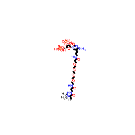 CC(C)CC(C(=O)NCCC(=O)NCCOCCOCCOCCOCCC(=O)NCCCc1cn([C@@H]2O[C@H](COP(=O)(O)O)C(OP(=O)(O)O)C2O)c(=O)nc1N)N(C)C